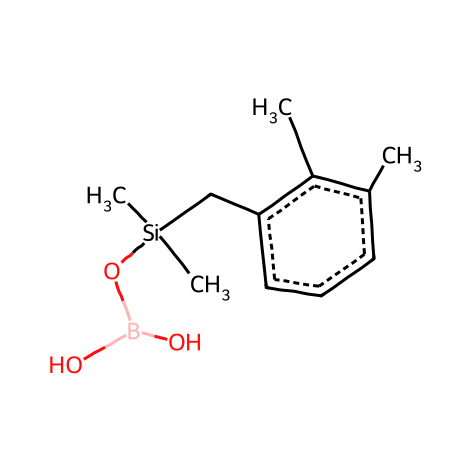 Cc1cccc(C[Si](C)(C)OB(O)O)c1C